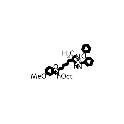 CCCCCCCCN1/C(=C/C=C/C=c2/c(C)nn3c(-c4ccccc4Oc4ccccc4)nnc23)Oc2ccc(OC)cc21